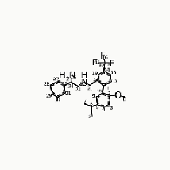 COc1ccc(C(C)C)cc1-c1ccc(C(F)(F)F)cc1CNC[C@H](N)c1ccccc1